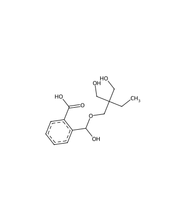 CCC(CO)(CO)COC(O)c1ccccc1C(=O)O